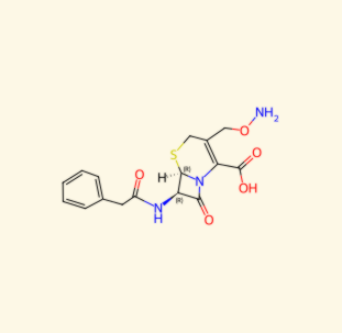 NOCC1=C(C(=O)O)N2C(=O)[C@@H](NC(=O)Cc3ccccc3)[C@H]2SC1